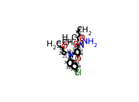 C=CC[C@H](C)C[S@@](N)(=O)=NC(=O)c1ccc2c(c1)N(C[C@@H]1CC[C@H]1[C@H](C=C)OC)C[C@@]1(CCCc3cc(Cl)ccc31)CO2